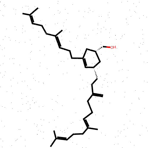 C=C(CC/C=C(\C)CCC=C(C)C)CC[C@@H]1C=C(CC/C=C(\C)CCC=C(C)C)C[C@H](CO)C1